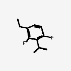 CCc1ccc(F)c(C(C)C)c1F